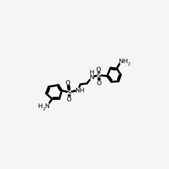 Nc1cccc(S(=O)(=O)NCCNS(=O)(=O)c2cccc(N)c2)c1